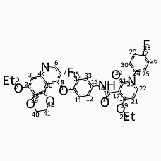 CCOc1cc2nccc(Oc3ccc(NC(=O)c4c(OCC)ccn(-c5ccc(F)cc5)c4=O)cc3F)c2c2c1OCCO2